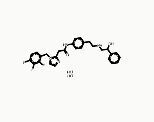 Cl.Cl.O=C(Cc1nccn1Cc1ccc(F)c(F)c1F)Nc1ccc(CCNCC(O)c2ccccc2)cc1